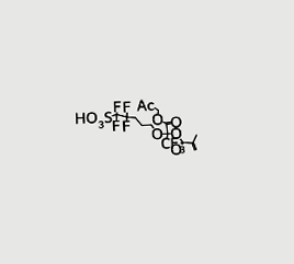 C=C(C)C(=O)OC(OCCCC(F)(F)C(F)(F)S(=O)(=O)O)(C(=O)OCC(C)=O)C(F)(F)F